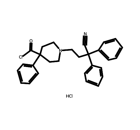 Cl.N#CC(CCN1CCC(C(=O)Cl)(c2ccccc2)CC1)(c1ccccc1)c1ccccc1